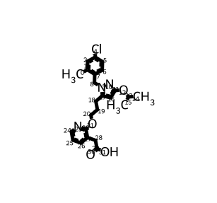 Cc1cc(Cl)ccc1Cn1nc(OC(C)C)cc1CCCOc1ncccc1CC(=O)O